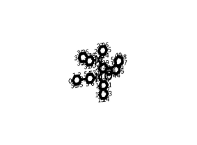 c1ccc(-c2ccc(N(c3ccc4ccccc4c3)c3cc(N(c4ccccc4)c4ccc5ccccc5c4)cc4c3oc3ccc5ccccc5c34)cc2)cc1